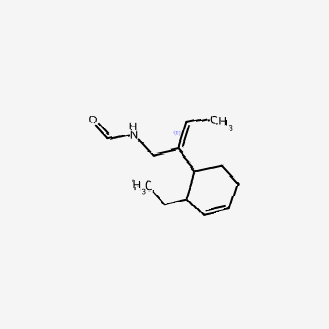 C/C=C(/CNC=O)C1CCC=CC1CC